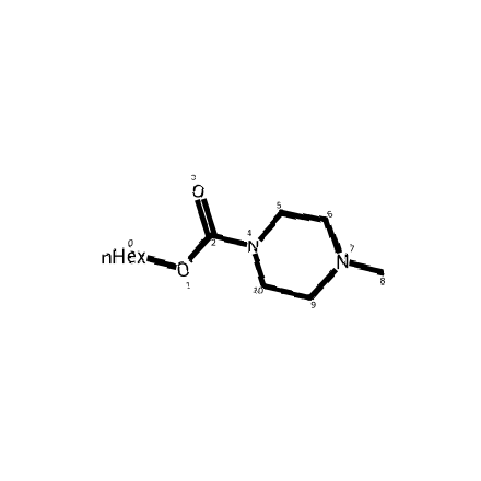 CCCCCCOC(=O)N1CCN(C)CC1